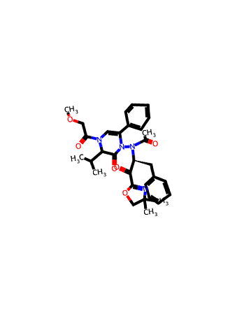 COCC(=O)N1C=C(c2ccccc2)N(N(C(C)=O)[C@@H](Cc2ccccc2)C(=O)C2=NC(C)(C)CO2)C(=O)C1C(C)C